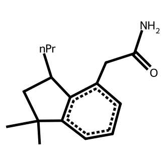 CCCC1CC(C)(C)c2cccc(CC(N)=O)c21